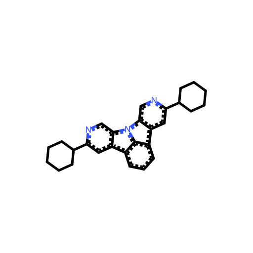 c1cc2c3cc(C4CCCCC4)ncc3n3c4cnc(C5CCCCC5)cc4c(c1)c23